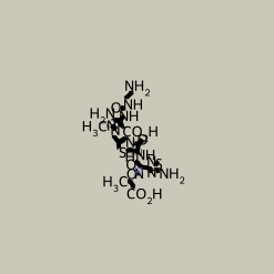 CC(CC(=O)O)O/N=C(\C(=O)N[C@@H]1C(=O)N2C(C(=O)O)=C(C[n+]3cc(NC(=O)NCCN)c(N)n3C)CS[C@H]12)c1nsc(N)n1